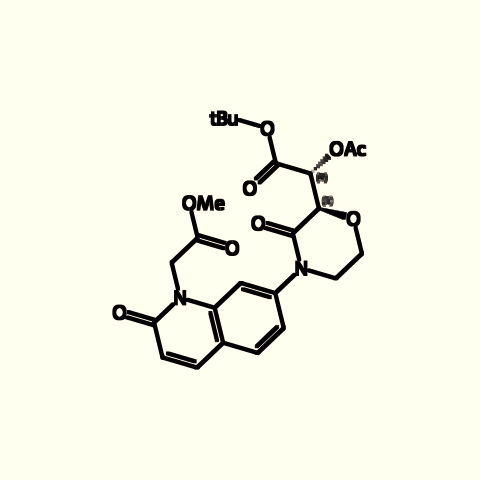 COC(=O)Cn1c(=O)ccc2ccc(N3CCO[C@H]([C@@H](OC(C)=O)C(=O)OC(C)(C)C)C3=O)cc21